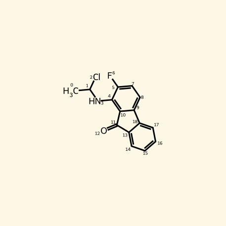 CC(Cl)Nc1c(F)ccc2c1C(=O)c1ccccc1-2